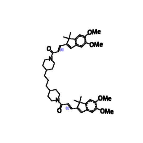 COc1cc2c(cc1OC)C(C)(C)C(/C=C/C(=O)N1CCC(CCCC3CCN(C(=O)/C=C/C4=Cc5cc(OC)c(OC)cc5C4(C)C)CC3)CC1)=C2